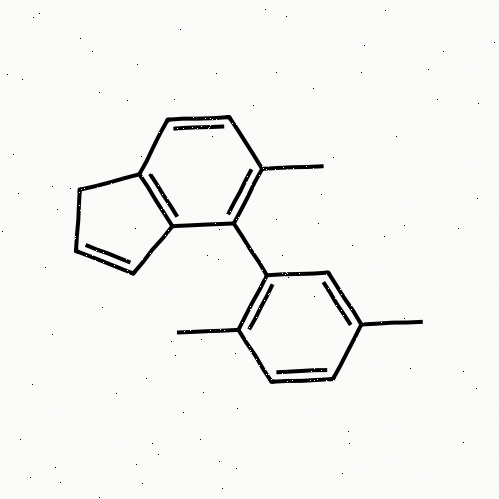 Cc1ccc(C)c(-c2c(C)ccc3c2C=CC3)c1